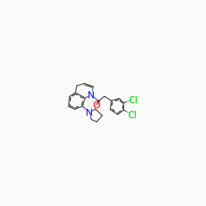 O=C(Cc1ccc(Cl)c(Cl)c1)N1C=CCc2cccc(N3CCCC3)c21